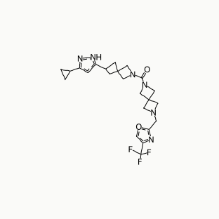 O=C(N1CC2(CC(c3cc(C4CC4)n[nH]3)C2)C1)N1CC2(CN(Cc3nc(C(F)(F)F)co3)C2)C1